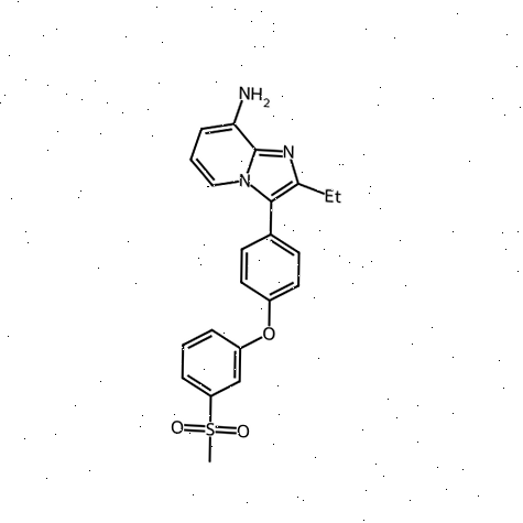 CCc1nc2c(N)cccn2c1-c1ccc(Oc2cccc(S(C)(=O)=O)c2)cc1